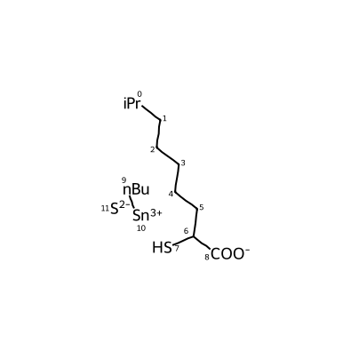 CC(C)CCCCCC(S)C(=O)[O-].CCC[CH2][Sn+3].[S-2]